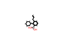 C=CCc1cccc(B(O)O)c1C1CCCCC1